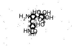 Nc1ccc([C@@H]2O[C@H](CO)[C@@H](O)[C@H](O)[C@H]2O)cc1Cc1ccc2c(c1)NCCO2